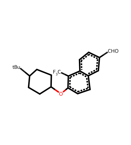 CC(C)(C)C1CCC(Oc2ccc3cc(C=O)ccc3c2C(F)(F)F)CC1